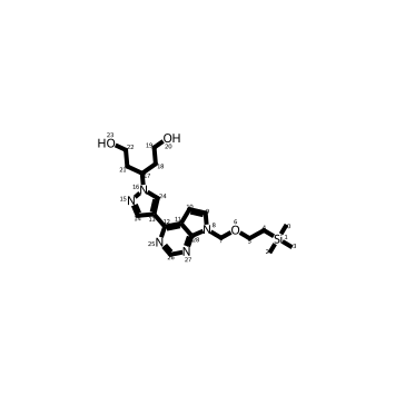 C[Si](C)(C)CCOCn1ccc2c(-c3cnn(C(CCO)CCO)c3)ncnc21